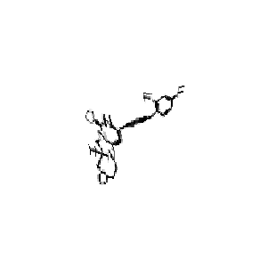 O=c1nc(C#Cc2ccc(F)cc2F)cc2n1C[C@H]1COCCN21